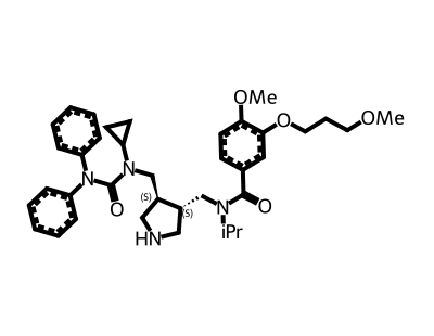 COCCCOc1cc(C(=O)N(C[C@@H]2CNC[C@H]2CN(C(=O)N(c2ccccc2)c2ccccc2)C2CC2)C(C)C)ccc1OC